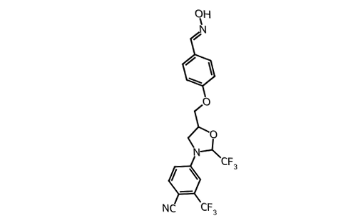 N#Cc1ccc(N2CC(COc3ccc(C=NO)cc3)OC2C(F)(F)F)cc1C(F)(F)F